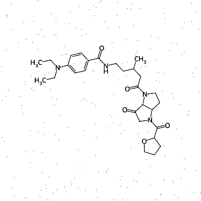 CCN(CC)c1ccc(C(=O)NCCC(C)CC(=O)N2CCC3C2C(=O)CN3C(=O)C2CCCO2)cc1